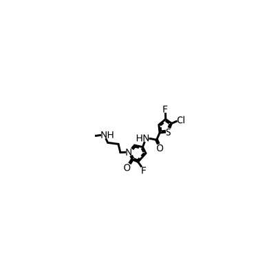 CNCCCn1cc(NC(=O)c2cc(F)c(Cl)s2)cc(F)c1=O